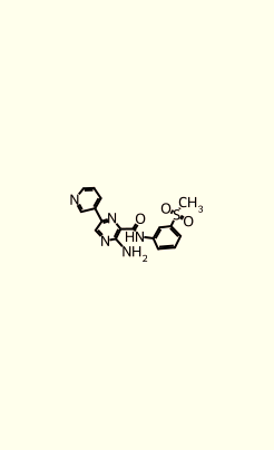 CS(=O)(=O)c1cccc(NC(=O)c2nc(-c3cccnc3)cnc2N)c1